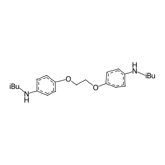 CCC(C)Nc1ccc(OCCOc2ccc(NC(C)CC)cc2)cc1